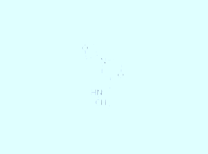 CNCC1CN(C2COC2)CCO1